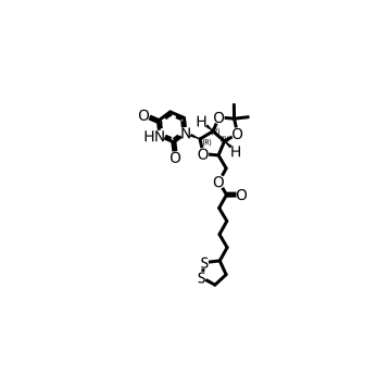 CC1(C)O[C@@H]2[C@H](O1)C(COC(=O)CCCCC1CCSS1)O[C@H]2n1ccc(=O)[nH]c1=O